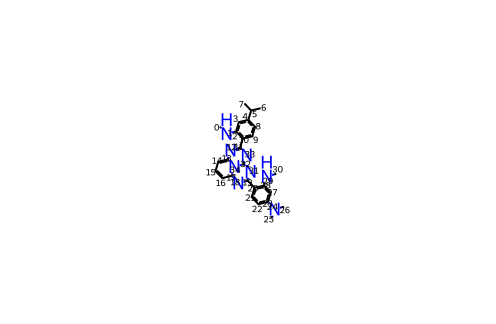 CNc1cc(C(C)C)ccc1C1=NC2=CC=CC3=NC(c4ccc(N(C)C)cc4NC)=NC(=N1)N23